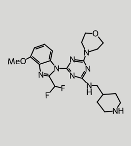 COc1cccc2c1nc(C(F)F)n2-c1nc(NCC2CCNCC2)nc(N2CCOCC2)n1